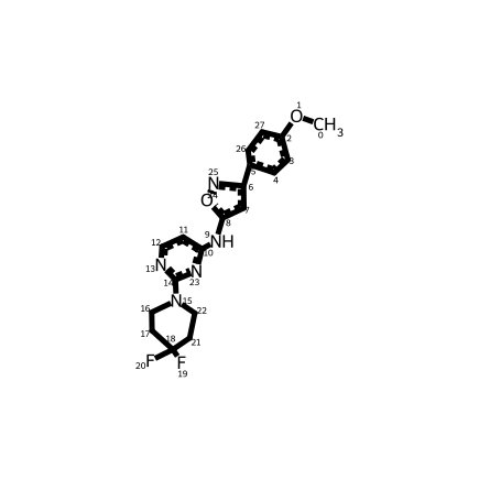 COc1ccc(-c2cc(Nc3ccnc(N4CCC(F)(F)CC4)n3)on2)cc1